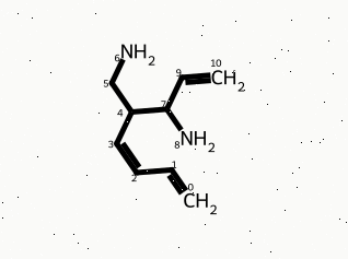 C=C/C=C\C(CN)C(N)C=C